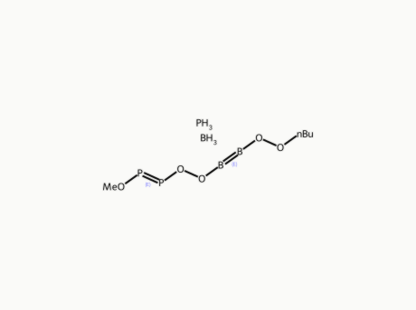 B.CCCCOO/B=B/OO/P=P/OC.P